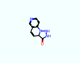 O=C1NNN2c3ccncc3C=CC12